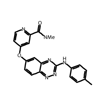 CNC(=O)c1cc(Oc2ccc3nnc(Nc4ccc(C)cc4)nc3c2)ccn1